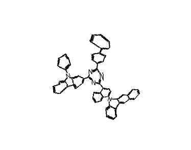 c1ccc(-c2ccc(-c3nc(-c4ccc5c6ccccc6n(-c6ccccc6)c5c4)nc(-c4ccc(-n5c6ccccc6c6cc7ccccc7cc65)c5ccccc45)n3)cc2)cc1